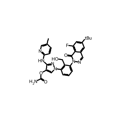 Cc1ccc(Nc2nn(-c3cccc(-n4ncc5cc(C(C)(C)C)cc(F)c5c4=O)c3CO)cc2OC(N)=O)nc1